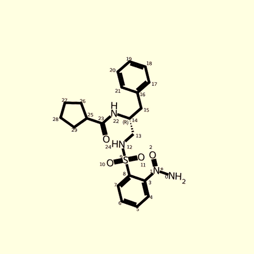 N[N+](=O)c1ccccc1S(=O)(=O)NC[C@@H](Cc1ccccc1)NC(=O)[C]1CCCC1